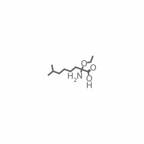 CCOC(N)(CCCCC(C)C)C(=O)O